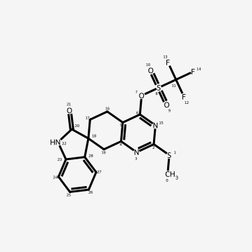 CSc1nc2c(c(OS(=O)(=O)C(F)(F)F)n1)CCC1(C2)C(=O)Nc2ccccc21